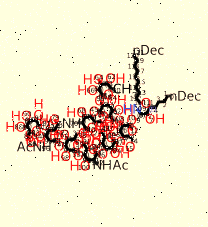 CCCCCCCCCCCCC/C=C/[C@@H](O)[C@H](CO[C@@H]1OC(CO)[C@@H](O[C@@H]2OC(CO)[C@H](O)[C@H](O[C@@H]3OC(CO)[C@@H](O[C@@H]4OC(CO[C@@H]5OC(CO)[C@@H](O[C@@H]6OC(CO)[C@H](O)[C@H](O)C6O[C@H]6OC(C)[C@@H](O)C(O)[C@@H]6O)[C@H](O)C5NC(C)=O)[C@H](O)[C@H](O[C@@H]5OC(CO)[C@@H](O[C@@H]6OC(CO)[C@H](O)[C@H](O)C6O)[C@H](O)C5NC(C)=O)C4O)[C@H](O)C3NC(C)=O)C2O)[C@H](O)C1O)NC(=O)CCCCCCCCCCCCCCCCCCC